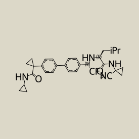 CC(C)C[C@H](N[C@@H](c1ccc(-c2ccc(C3(C(=O)NC4CC4)CC3)cc2)cc1)C(F)(F)F)C(=O)NC1(C#N)CC1